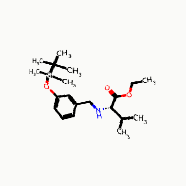 CCOC(=O)[C@@H](NCc1cccc(O[Si](C)(C)C(C)(C)C)c1)C(C)C